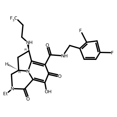 CCN1C[C@H]2C[C@@H](NCCC(F)(F)F)c3c(C(=O)NCc4ccc(F)cc4F)c(=O)c(O)c(n32)C1=O